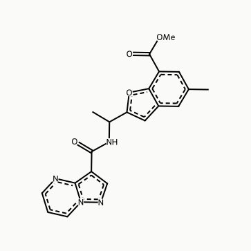 COC(=O)c1cc(C)cc2cc(C(C)NC(=O)c3cnn4cccnc34)oc12